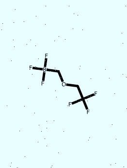 F[B-](F)(F)COCC(F)(F)F